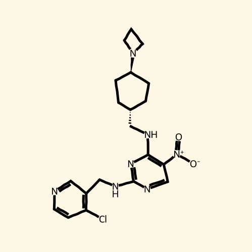 O=[N+]([O-])c1cnc(NCc2cnccc2Cl)nc1NC[C@H]1CC[C@H](N2CCC2)CC1